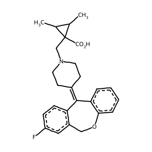 CC1C(C)C1(CN1CCC(=C2c3ccc(F)cc3COc3ccccc32)CC1)C(=O)O